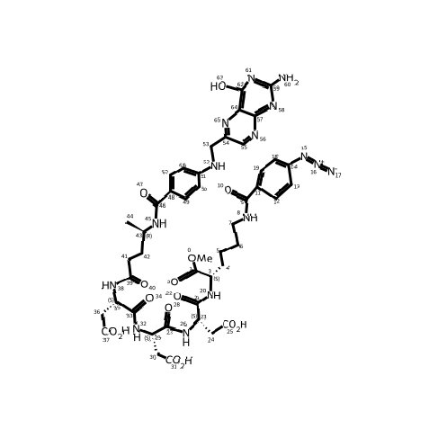 COC(=O)[C@H](CCCCNC(=O)c1ccc(N=[N+]=[N-])cc1)NC(=O)[C@H](CC(=O)O)NC(=O)[C@H](CC(=O)O)NC(=O)[C@H](CC(=O)O)NC(=O)CC[C@@H](C)NC(=O)c1ccc(NCc2cnc3nc(N)nc(O)c3n2)cc1